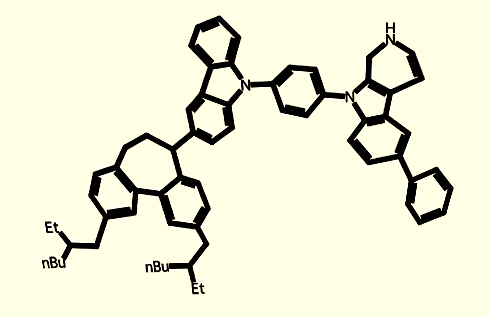 CCCCC(CC)Cc1ccc2c(c1)-c1cc(CC(CC)CCCC)ccc1C(c1ccc3c(c1)c1ccccc1n3-c1ccc(-n3c4c(c5cc(-c6ccccc6)ccc53)C=CNC4)cc1)CC2